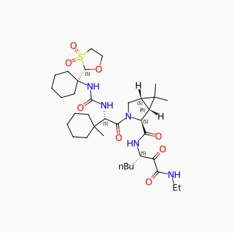 CCCC[C@H](NC(=O)[C@@H]1[C@@H]2[C@H](CN1C(=O)[C@@H](NC(=O)NC1([C@H]3OCCS3(=O)=O)CCCCC1)C1(C)CCCCC1)C2(C)C)C(=O)C(=O)NCC